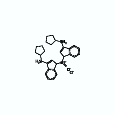 [CH2]=[Zr+2]([CH]1C=C([SiH2]C2CCCC2)c2ccccc21)[CH]1C=C([SiH2]C2CCCC2)c2ccccc21.[Cl-].[Cl-]